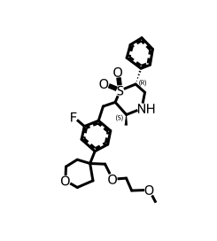 COCCOCC1(c2ccc(CC3[C@H](C)NC[C@@H](c4ccccc4)S3(=O)=O)c(F)c2)CCOCC1